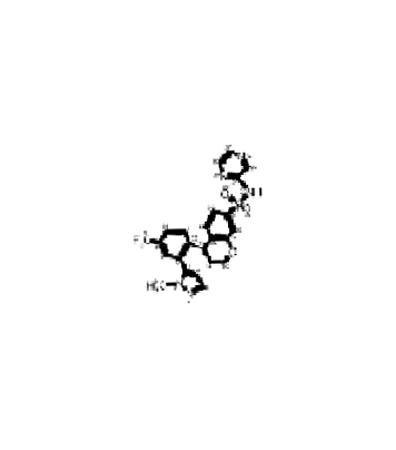 Cn1nccc1-c1cc(C(F)(F)F)ccc1[C@@H]1CCOc2cc(S(=O)(=O)Nc3cnccn3)ccc21